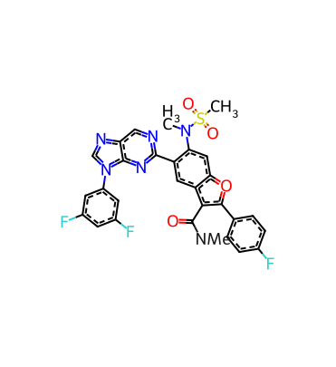 CNC(=O)c1c(-c2ccc(F)cc2)oc2cc(N(C)S(C)(=O)=O)c(-c3ncc4ncn(-c5cc(F)cc(F)c5)c4n3)cc12